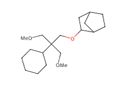 COCC(COC)(COC1CC2CCC1C2)C1CCCCC1